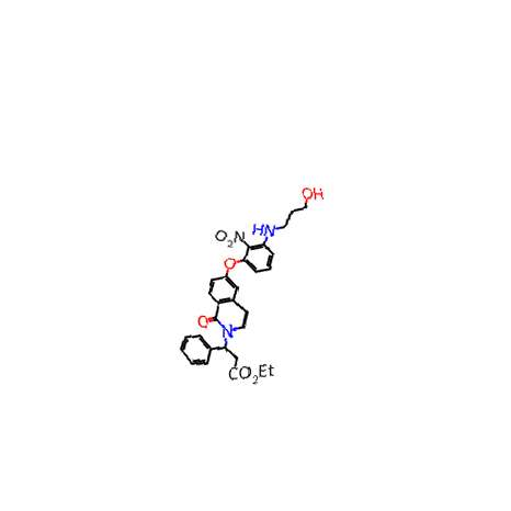 CCOC(=O)CC(c1ccccc1)N1CCc2cc(Oc3cccc(NCCCO)c3[N+](=O)[O-])ccc2C1=O